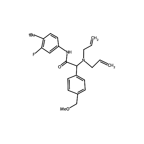 C=CCN(CC=C)C(C(=O)Nc1ccc(C(C)(C)C)c(F)c1)c1ccc(COC)cc1